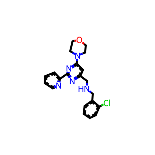 Clc1ccccc1CNCc1cc(N2CCOCC2)nc(-c2ccccn2)n1